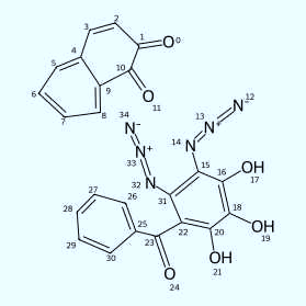 O=C1C=Cc2ccccc2C1=O.[N-]=[N+]=Nc1c(O)c(O)c(O)c(C(=O)c2ccccc2)c1N=[N+]=[N-]